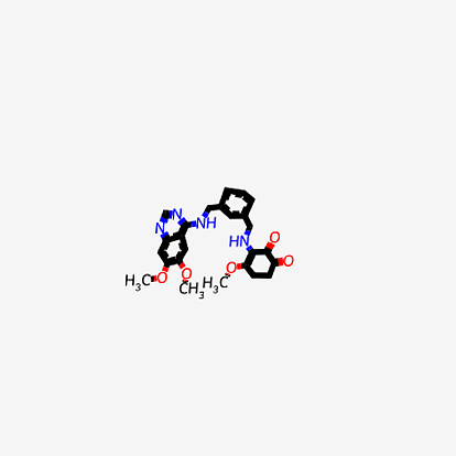 COC1=C(NCc2cccc(CNc3ncnc4cc(OC)c(OC)cc34)c2)C(=O)C(=O)CC1